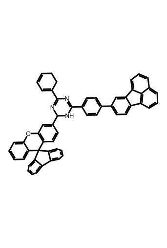 C1=CCCC(C2=NC(c3ccc4c(c3)Oc3ccccc3C43c4ccccc4-c4ccccc43)NC(c3ccc(-c4ccc5c(c4)-c4cccc6cccc-5c46)cc3)=N2)=C1